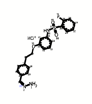 Cl.N/N=C\c1ccc(CCOc2cccc(NS(=O)(=O)c3ccccc3F)c2)cc1